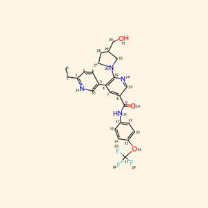 CCc1ccc(-c2cc(C(=O)Nc3ccc(OC(F)(F)F)cc3)cnc2N2CCC(CO)C2)cn1